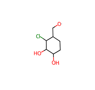 [O]CC1CCC(O)C(O)C1Cl